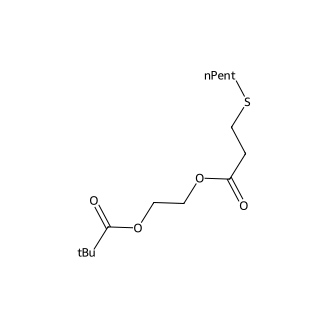 CCCCCSCCC(=O)OCCOC(=O)C(C)(C)C